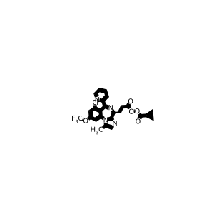 Cc1cnc2n1-c1cc(OC(F)(F)F)cc(Cl)c1C(c1ccccn1)=N[C@H]2CCC(=O)OOC(=O)C1CC1